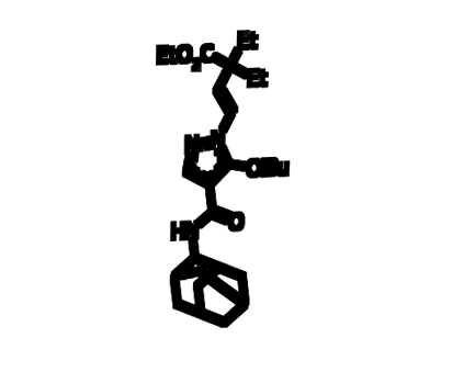 CCOC(=O)C(/C=C/n1ncc(C(=O)NC2C3CC4CC(C3)CC2C4)c1OCC(C)C)(CC)CC